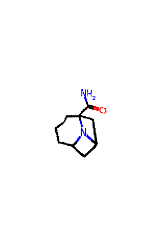 NC(=O)C12CCCC3CC(C1)N32